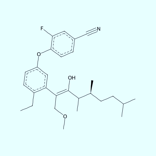 CCc1ccc(Oc2ccc(C#N)cc2F)cc1/C(COC)=C(\O)C(C)[C@@H](C)CCC(C)C